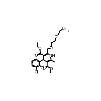 CCOC(=O)C1=C(COCCOCCN)NC(C)=C(C(=O)OC)C1c1cccc(Cl)c1Cl